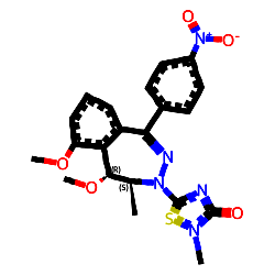 COc1cccc2c1[C@@H](OC)[C@H](C)N(c1nc(=O)n(C)s1)N=C2c1ccc([N+](=O)[O-])cc1